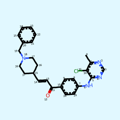 Cc1ncnc(Nc2ccc(C(=O)C=CC3CCN(Cc4ccccc4)CC3)cc2)c1Cl